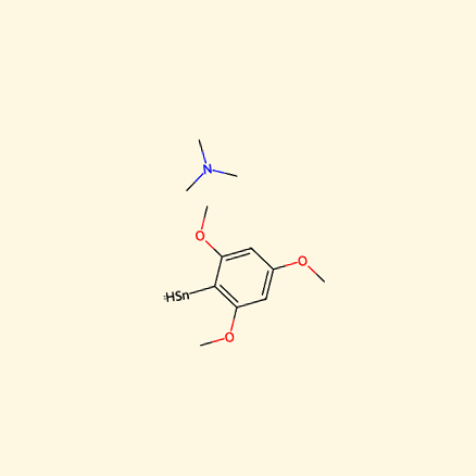 CN(C)C.COc1cc(OC)[c]([SnH])c(OC)c1